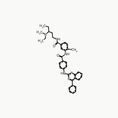 CCC(CCNC(=O)c1ccc(C)c(NC(=O)c2ccc(Nc3nc(-c4ccccc4)c4ccccc4n3)cc2)c1)N(C)CC